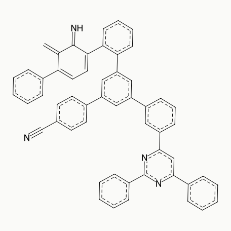 C=C1C(=N)C(c2ccccc2-c2cc(-c3ccc(C#N)cc3)cc(-c3cccc(-c4cc(-c5ccccc5)nc(-c5ccccc5)n4)c3)c2)=CC=C1c1ccccc1